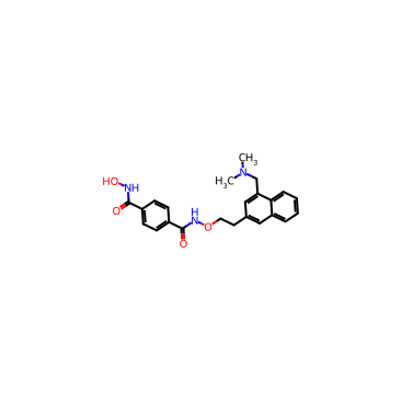 CN(C)Cc1cc(CCONC(=O)c2ccc(C(=O)NO)cc2)cc2ccccc12